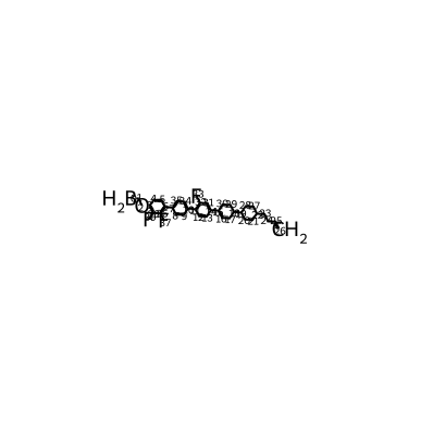 BCOc1ccc(-c2ccc(-c3ccc(C4=CCC(C5CCC(CCC=C)CC5)CC4)cc3F)cc2)c(F)c1F